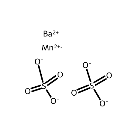 O=S(=O)([O-])[O-].O=S(=O)([O-])[O-].[Ba+2].[Mn+2]